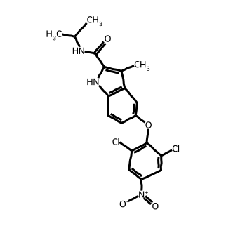 Cc1c(C(=O)NC(C)C)[nH]c2ccc(Oc3c(Cl)cc([N+](=O)[O-])cc3Cl)cc12